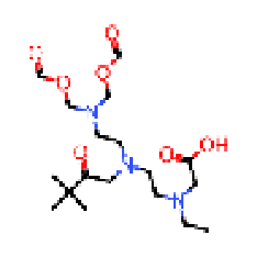 CCN(CCN(CCN(COC=O)COC=O)CC(=O)C(C)(C)C)CC(=O)O